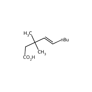 CCCCC=CC(C)(C)CC(=O)O